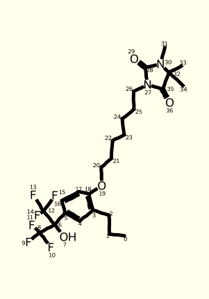 CCCc1cc(C(O)(C(F)(F)F)C(F)(F)F)ccc1OCCCCCCCN1C(=O)N(C)C(C)(C)C1=O